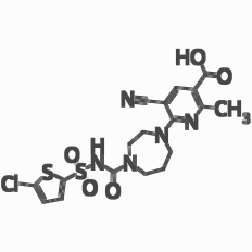 Cc1nc(N2CCCN(C(=O)NS(=O)(=O)c3ccc(Cl)s3)CC2)c(C#N)cc1C(=O)O